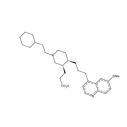 COc1ccc2nccc(CCC[C@@H]3CCN(CCC4CCCCC4)C[C@@H]3CCC(=O)O)c2c1